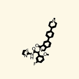 COc1ccc(F)cc1C(C(=O)Nc1nccs1)N1Cc2ccc(-c3ccc(C4=CCN(C)CC4)cc3)cc2C1=O